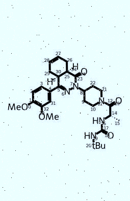 COc1ccc(C2=NN(C3CCN(C(=O)[C@H](C)NC(=O)NC(C)(C)C)CC3)C(=O)[C@@H]3CC=CC[C@H]23)cc1OC